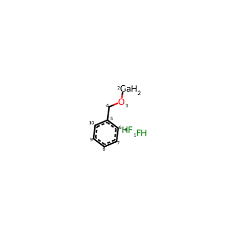 F.F.[GaH2][O]Cc1ccccc1